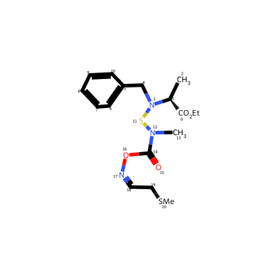 CCOC(=O)[C@H](C)N(Cc1ccccc1)SN(C)C(=O)O/N=C\CSC